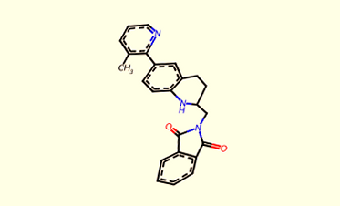 Cc1cccnc1-c1ccc2c(c1)CCC(CN1C(=O)c3ccccc3C1=O)N2